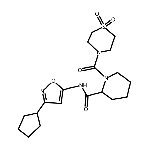 O=C(Nc1cc(C2CCCC2)no1)C1CCCCN1C(=O)N1CCS(=O)(=O)CC1